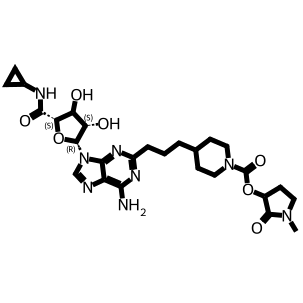 CN1CCC(OC(=O)N2CCC(CCCc3nc(N)c4ncn([C@@H]5O[C@H](C(=O)NC6CC6)C(O)[C@@H]5O)c4n3)CC2)C1=O